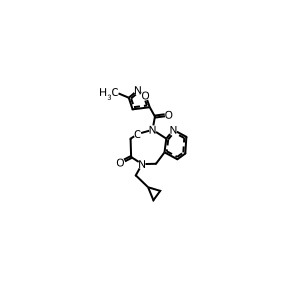 Cc1cc(C(=O)N2CCC(=O)N(CC3CC3)Cc3cccnc32)on1